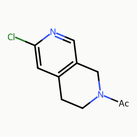 CC(=O)N1CCc2cc(Cl)ncc2C1